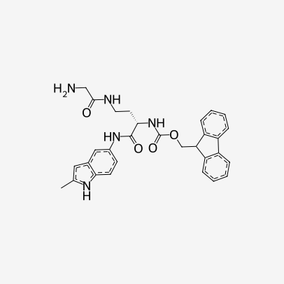 Cc1cc2cc(NC(=O)[C@H](CCNC(=O)CN)NC(=O)OCC3c4ccccc4-c4ccccc43)ccc2[nH]1